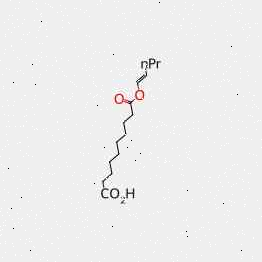 CCCC=COC(=O)CCCCCCCCC(=O)O